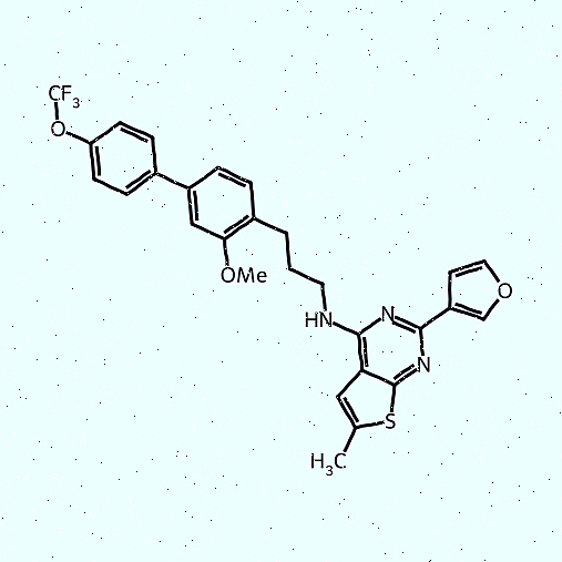 COc1cc(-c2ccc(OC(F)(F)F)cc2)ccc1CCCNc1nc(-c2ccoc2)nc2sc(C)cc12